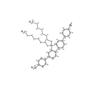 CCCCCCCCC1(CCCCCCCC)c2cc(-c3ccc(N)cc3)ccc2-c2ccc(-c3ccc(Br)cc3)cc21